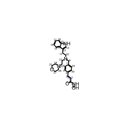 O=C(/C=C/c1ccc(CN(CCc2c[nH]c3ccccc23)CCN2CCOCC2)cc1)NO